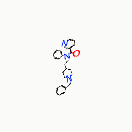 O=C(c1cccnc1)N(CCC1CCN(Cc2ccccc2)CC1)c1ccccc1